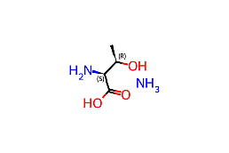 C[C@@H](O)[C@H](N)C(=O)O.N